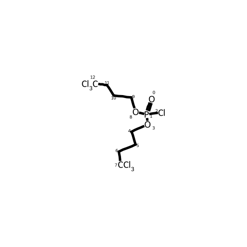 O=P(Cl)(OCCCC(Cl)(Cl)Cl)OCCCC(Cl)(Cl)Cl